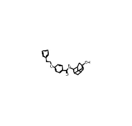 CN(C(=O)c1ccc(OCCc2ccccc2)cc1)C1C2CC3CC1CC(O)(C3)C2